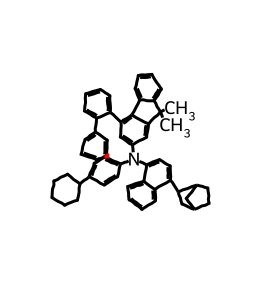 CC1(C)c2ccccc2-c2c(-c3ccccc3-c3ccccc3)cc(N(c3ccc(C4CCCCC4)cc3)c3ccc(C4CC5CCC4C5)c4ccccc34)cc21